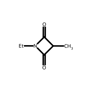 CCN1C(=O)C(C)C1=O